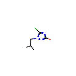 CC(C#N)Cn1nc(O)nc1Cl